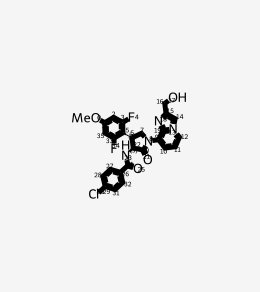 COc1cc(F)c([C@@H]2CN(c3cccn4cc(CO)nc34)C(=O)[C@H]2NC(=O)c2ccc(Cl)cc2)c(F)c1